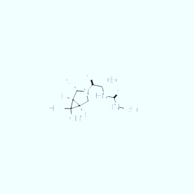 CC(=O)[C@@H]1[C@@H]2[C@H](CN1C(=O)[C@@H](NC(=O)NC(C)(C)C)C(C)(C)C)C2(C)C